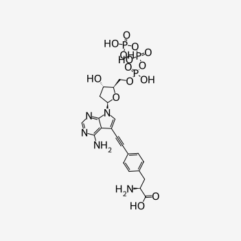 Nc1ncnc2c1c(C#Cc1ccc(C[C@H](N)C(=O)O)cc1)cn2[C@H]1C[C@H](O)[C@@H](COP(=O)(O)OP(=O)(O)OP(=O)(O)O)O1